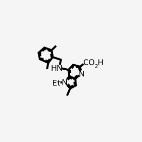 CCn1c(C)cc2nc(C(=O)O)cc(NCc3c(C)cccc3C)c21